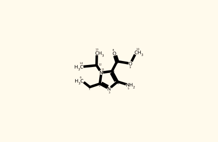 CCc1nc(N)c(C(=O)OC)n1C(C)C